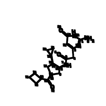 Nc1nc(CC(=O)N[C@H]2CN(C(=O)C3CCC3)C[C@H]2C2CC2)cc(=O)[nH]1